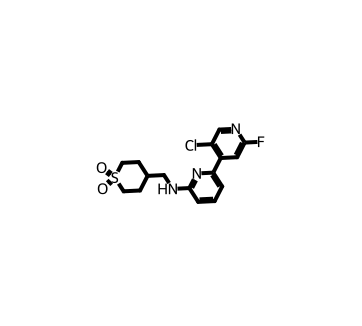 O=S1(=O)CCC(CNc2cccc(-c3cc(F)ncc3Cl)n2)CC1